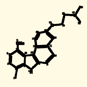 COc1ncc(C)c2[nH]c3ccc4cc(OCCN(C)C)ccc4c3c12